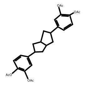 CC(=O)Oc1ccc(C2CC3CC(c4ccc(OC(C)=O)c(OC(C)=O)c4)CC3C2)cc1OC(C)=O